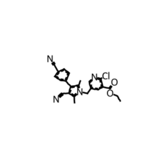 CCOC(=O)c1cc(Cn2c(C)c(C#N)c(-c3ccc(C#N)cc3)c2C)cnc1Cl